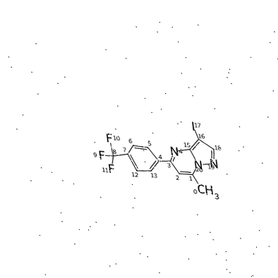 Cc1cc(-c2ccc(C(F)(F)F)cc2)nc2c(I)cnn12